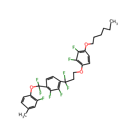 CCCCCCOc1ccc(OCCC(F)(F)c2ccc(C(F)(F)Oc3ccc(C)cc3F)c(F)c2F)c(F)c1F